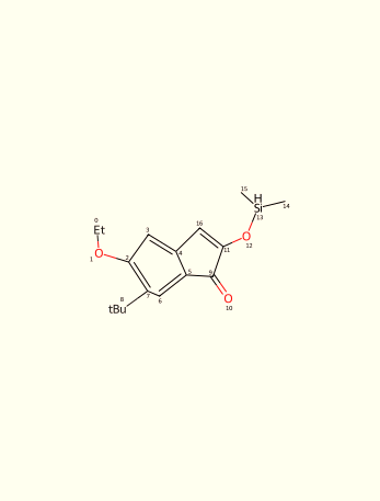 CCOc1cc2c(cc1C(C)(C)C)C(=O)C(O[SiH](C)C)=C2